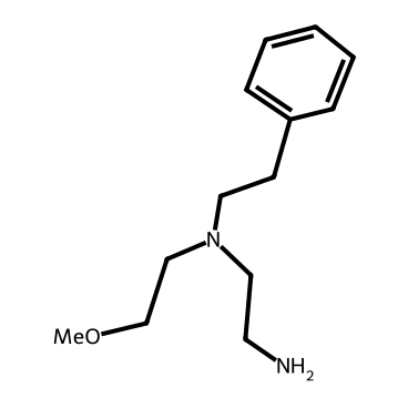 COCCN(CCN)CCc1ccccc1